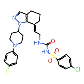 O=C(NCC=C1CCCc2cnn(C3CCN(c4ccc(F)cc4)CC3)c21)NS(=O)(=O)c1ccc(Cl)cc1